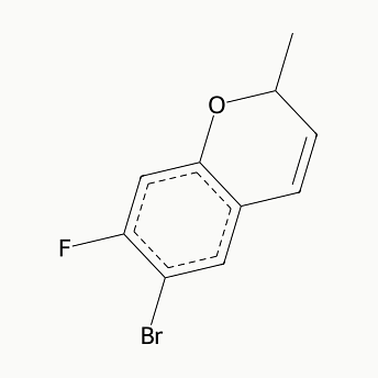 CC1C=Cc2cc(Br)c(F)cc2O1